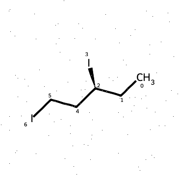 CC[C@H](I)CCI